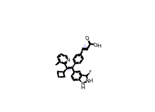 Cc1cccnc1/C(=C(\c1ccc(/C=C/C(=O)O)cc1)c1ccc2c(c1)C(F)NN2)C1CCC1